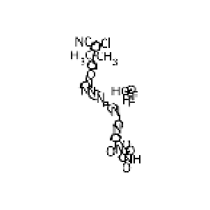 CC(C)(c1ccc(OCc2ccnc(N3CCN(C4CC5(CCN(CC6CCN(c7ccc8c(c7)C(=O)N(C7CCC(=O)NC7=O)C8=O)CC6)CC5)C4)CC3)n2)cc1)c1cc(Cl)cc(C#N)c1.O=C(O)C(F)(F)F